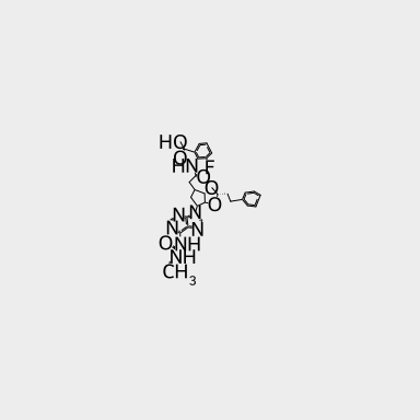 CCNC(=O)Nc1ncnc2c1ncn2C1CC(CC(=O)Nc2c(F)cccc2C(=O)O)C2O[C@H](CCc3ccccc3)OC21